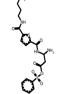 NCCCNC(=O)c1ccc(C(=O)NC(N)CC(=O)OS(=O)(=O)c2ccccc2)s1